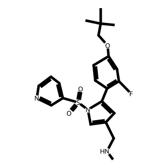 CNCc1cc(-c2ccc(OCC(C)(C)C)cc2F)n(S(=O)(=O)c2cccnc2)c1